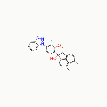 Cc1ccc(C2COc3c(ccc(-n4nnc5ccccc54)c3C)C2(O)c2ccc(C)cc2)cc1